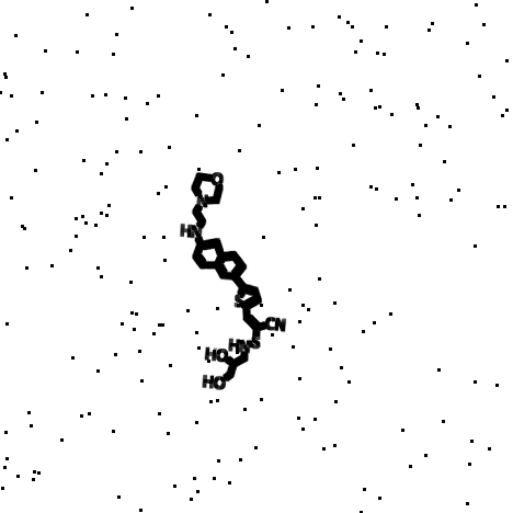 N#C/C(=C\c1ccc(-c2ccc3cc(NCCN4CCOCC4)ccc3c2)s1)SNCC(O)CO